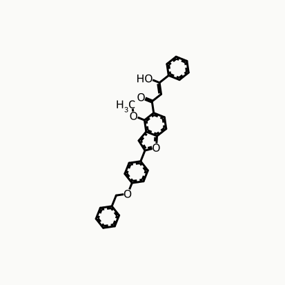 COc1c(C(=O)/C=C(\O)c2ccccc2)ccc2oc(-c3ccc(OCc4ccccc4)cc3)cc12